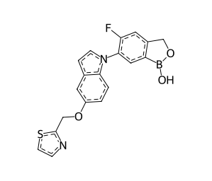 OB1OCc2cc(F)c(-n3ccc4cc(OCc5nccs5)ccc43)cc21